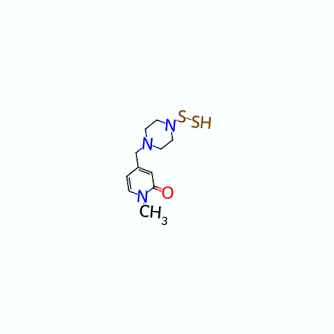 Cn1ccc(CN2CCN(SS)CC2)cc1=O